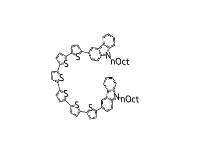 CCCCCCCCn1c2ccccc2c2cc(-c3ccc(-c4ccc(-c5ccc(-c6ccc(-c7ccc(-c8ccc(-c9ccc%10c(c9)c9ccccc9n%10CCCCCCCC)s8)s7)s6)s5)s4)s3)ccc21